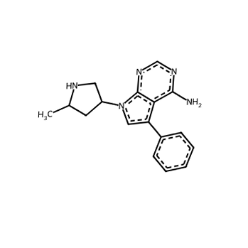 CC1CC(n2cc(-c3ccccc3)c3c(N)ncnc32)CN1